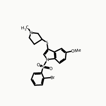 COc1ccc2c(c1)c(SC1CCN(C)C1)cn2S(=O)(=O)c1ccccc1Br